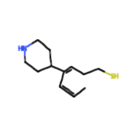 C/C=C\C(=C/CCS)C1CCNCC1